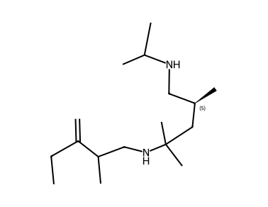 C=C(CC)C(C)CNC(C)(C)C[C@H](C)CNC(C)C